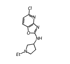 CCN1CCC(Nc2nc3nc(Cl)ccc3o2)C1